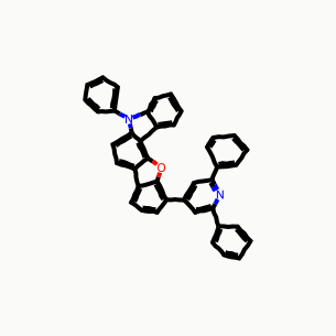 c1ccc(-c2cc(-c3cccc4c3oc3c4ccc4c3c3ccccc3n4-c3ccccc3)cc(-c3ccccc3)n2)cc1